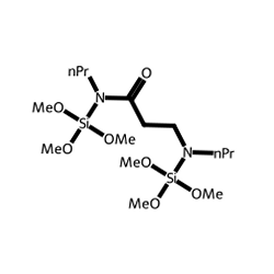 CCCN(CCC(=O)N(CCC)[Si](OC)(OC)OC)[Si](OC)(OC)OC